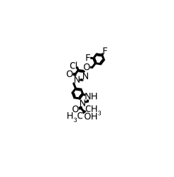 CC(C)(O)C(=O)N1CNc2cc(Cn3cnc(OCc4ccc(F)cc4F)c(Cl)c3=O)ccc21